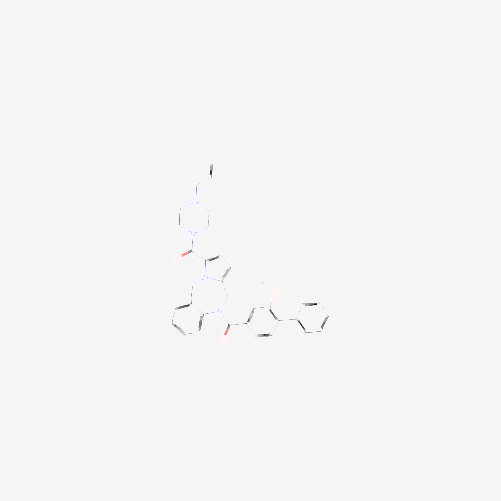 C=CCN1CCN(C(=O)c2ccc3n2Cc2ccccc2N(C(=O)c2ccc(-c4ccccc4C)c(OC)c2)C3)CC1